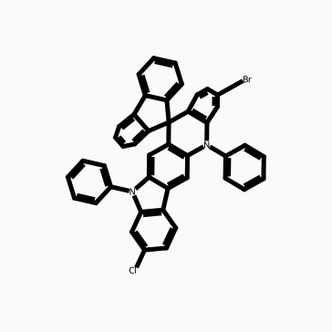 Clc1ccc2c3cc4c(cc3n(-c3ccccc3)c2c1)C1(c2ccccc2-c2ccccc21)c1ccc(Br)cc1N4c1ccccc1